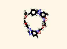 Cc1cc2ncn3c2c2nc(oc12)CO[Si](C)(C)c1nc2c(o1)c(C)cc1ncn(c12)-c1ccc(cc1)[Si](C)(C)OCc1ccc-3cc1